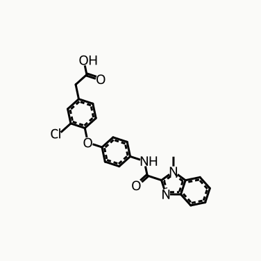 Cn1c(C(=O)Nc2ccc(Oc3ccc(CC(=O)O)cc3Cl)cc2)nc2ccccc21